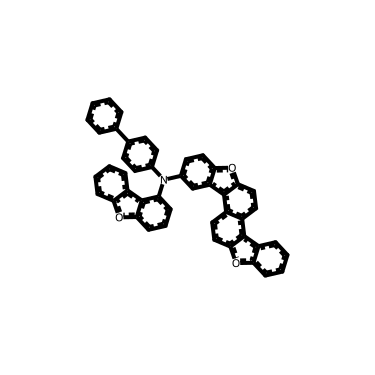 c1ccc(-c2ccc(N(c3ccc4oc5ccc6c(ccc7oc8ccccc8c76)c5c4c3)c3cccc4oc5ccccc5c34)cc2)cc1